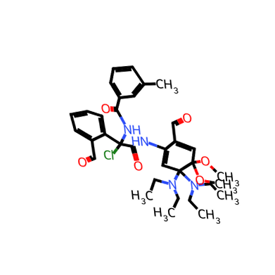 CCN(CC)C1(N(CC)CC)C=C(NC(=O)C(Cl)(NC(=O)c2cccc(C)c2)c2ccccc2C=O)C(C=O)=CC1(OC)OC